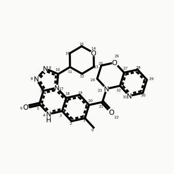 Cc1cc2[nH]c(=O)c3nnc(C4CCOCC4)n3c2cc1C(=O)N1CCOc2cccnc21